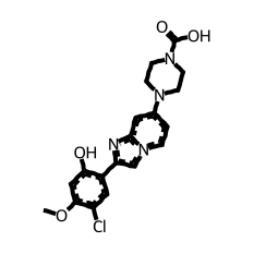 COc1cc(O)c(-c2cn3ccc(N4CCN(C(=O)O)CC4)cc3n2)cc1Cl